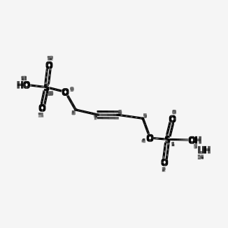 O=S(=O)(O)OCC#CCOS(=O)(=O)O.[LiH]